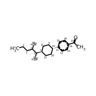 CCCC(Br)C(Br)[C@H]1CC[C@H](c2ccc(C(C)=O)cc2)CC1